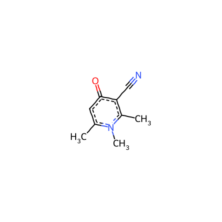 Cc1cc(=O)c(C#N)c(C)n1C